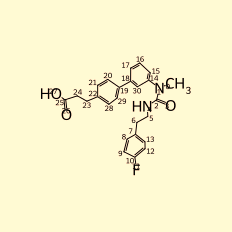 CN(C(=O)NCCc1ccc(F)cc1)c1cccc(-c2ccc(CCC(=O)O)cc2)c1